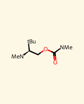 CNC(=O)OC[C@@H](NC)C(C)(C)C